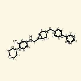 Fc1cc(NCC2C3CN(Cc4ccc(-c5cncnc5)cc4)CC23)ccc1N1CCOCC1